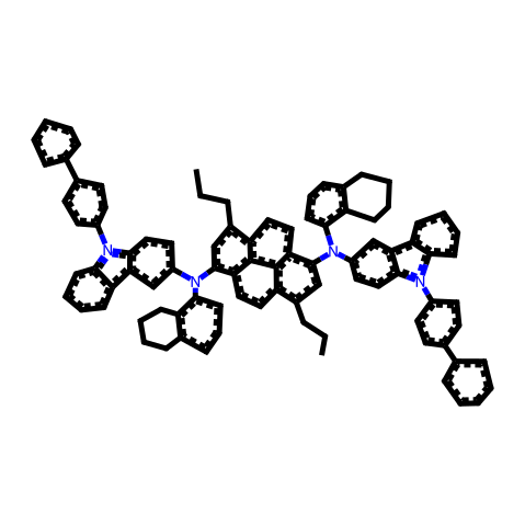 CCCc1cc(N(c2ccc3c(c2)c2ccccc2n3-c2ccc(-c3ccccc3)cc2)c2cccc3c2CCCC3)c2ccc3c(CCC)cc(N(c4ccc5c(c4)c4ccccc4n5-c4ccc(-c5ccccc5)cc4)c4cccc5c4CCCC5)c4ccc1c2c34